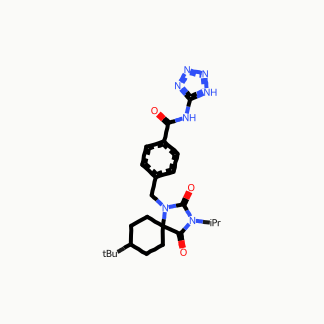 CC(C)N1C(=O)N(Cc2ccc(C(=O)Nc3nnn[nH]3)cc2)C2(CCC(C(C)(C)C)CC2)C1=O